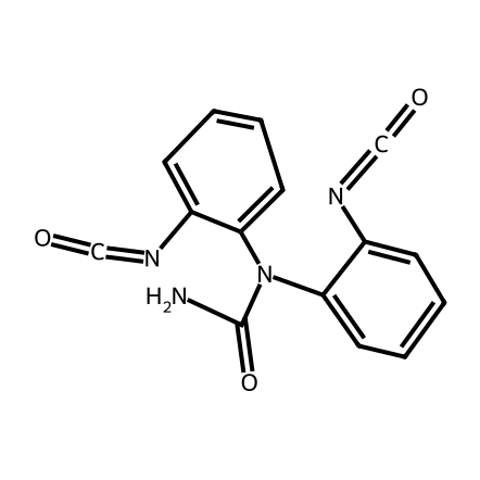 NC(=O)N(c1ccccc1N=C=O)c1ccccc1N=C=O